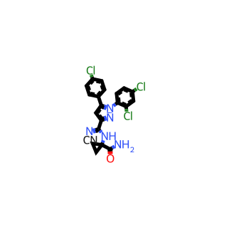 N#CN=C(NC1(C(N)=O)CC1)c1cc(-c2ccc(Cl)cc2)n(-c2ccc(Cl)cc2Cl)n1